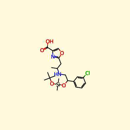 CC(Cc1nc(C(=O)O)co1)NCC(O[Si](C)(C)OC(C)(C)C)c1cccc(Cl)c1